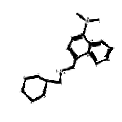 CN(C)c1ccc(CNCC2CC[CH]CC2)c2ccccc12